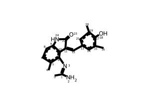 C/C(N)=N\c1c(C)ccc2c1/C(=C/c1cc(C)c(O)c(C)c1)C(=O)N2